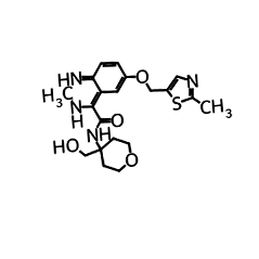 CN/C(C(=O)NC1(CO)CCOCC1)=C1/C=C(OCc2cnc(C)s2)C=CC1=N